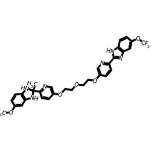 CC1(c2ccc(OCCOCCOc3ccc(-c4nc5cc(OC(F)(F)F)ccc5[nH]4)nc3)cn2)Nc2ccc(OC(F)(F)F)cc2N1